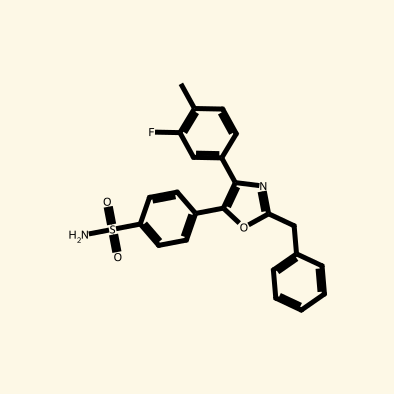 Cc1ccc(-c2nc(Cc3ccccc3)oc2-c2ccc(S(N)(=O)=O)cc2)cc1F